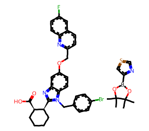 CC1(C)OB(c2cscn2)OC1(C)C.O=C(O)[C@@H]1CCCC[C@@H]1c1nc2cc(OCc3ccc4cc(F)ccc4n3)ccc2n1Cc1ccc(Br)cc1